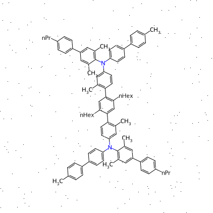 CCCCCCc1cc(-c2ccc(N(c3ccc(-c4ccc(C)cc4)cc3)c3c(C)cc(-c4ccc(CCC)cc4)cc3C)cc2C)c(CCCCCC)cc1-c1ccc(N(c2ccc(-c3ccc(C)cc3)cc2)c2c(C)cc(-c3ccc(CCC)cc3)cc2C)cc1C